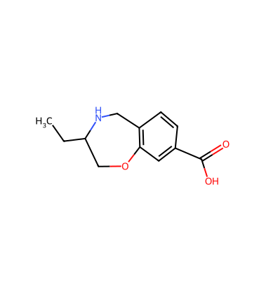 CCC1COc2cc(C(=O)O)ccc2CN1